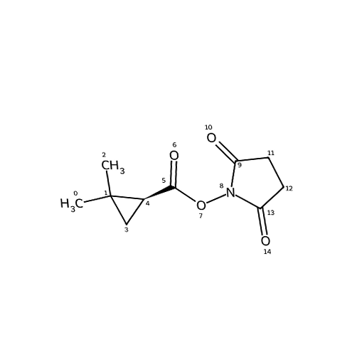 CC1(C)C[C@@H]1C(=O)ON1C(=O)CCC1=O